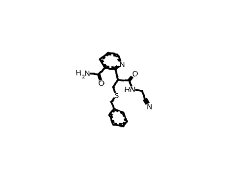 N#CCNC(=O)C(CSCc1ccccc1)c1ncccc1C(N)=O